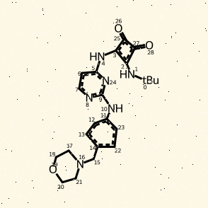 CC(C)(C)Nc1c(Nc2ccnc(Nc3ccc(CN4CCOCC4)cc3)n2)c(=O)c1=O